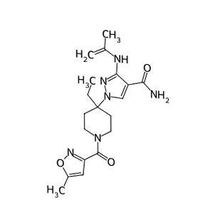 C=C(C)Nc1nn(C2(CC)CCN(C(=O)c3cc(C)on3)CC2)cc1C(N)=O